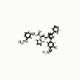 COc1cccc(OCC(=O)N(CCn2nc(-c3ccncc3)nc2-c2ccc(OC)c(Cl)c2)C2CCCC2)c1